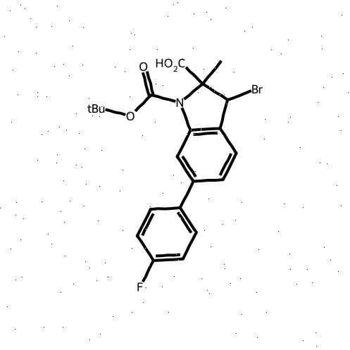 CC(C)(C)OC(=O)N1c2cc(-c3ccc(F)cc3)ccc2C(Br)C1(C)C(=O)O